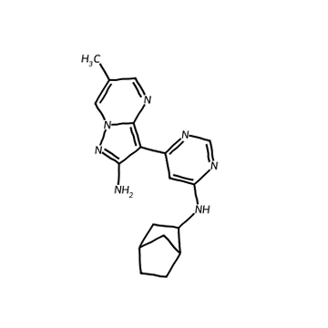 Cc1cnc2c(-c3cc(NC4CC5CCC4C5)ncn3)c(N)nn2c1